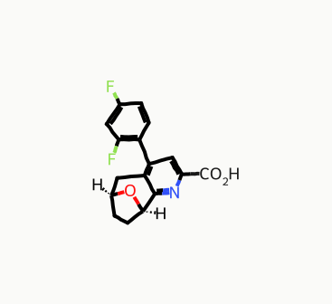 O=C(O)c1cc(-c2ccc(F)cc2F)c2c(n1)[C@H]1CC[C@@H](C2)O1